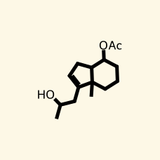 CC(=O)OC1CCCC2(C)C(CC(C)O)=CCC12